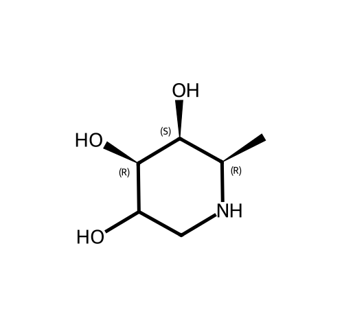 C[C@H]1NCC(O)[C@@H](O)[C@H]1O